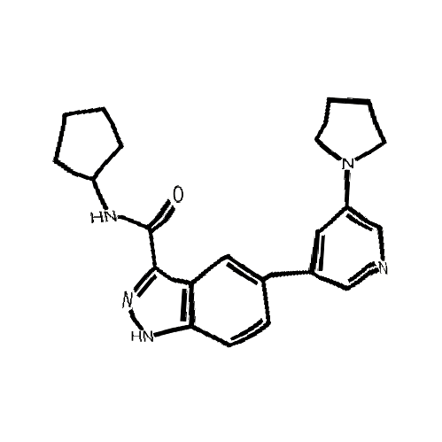 O=C(NC1CCCC1)c1n[nH]c2ccc(-c3cncc(N4CCCC4)c3)cc12